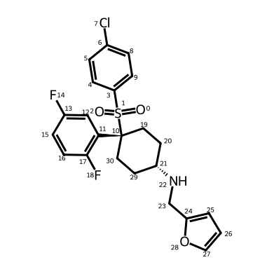 O=S(=O)(c1ccc(Cl)cc1)[C@]1(c2cc(F)ccc2F)CC[C@H](NCc2ccco2)CC1